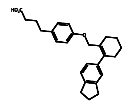 O=C(O)CCCc1ccc(OCC2=C(c3ccc4c(c3)CCC4)CCCC2)cc1